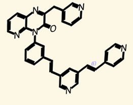 O=c1c(Cc2cccnc2)nc2cccnc2n1-c1cccc(C=Cc2cncc(/C=C/c3ccncc3)c2)c1